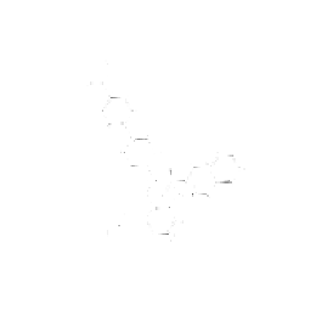 COC(=O)c1ccc(N2CCC(N(Cc3c(OC)cc(C)cc3OC)S(=O)(=O)c3ccc4ccccc4c3)CC2)cc1